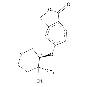 CC1(C)CCNC[C@H]1Oc1ccc2c(c1)COC2=O